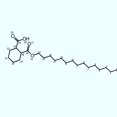 CCCCCCCCCCCCCCCOC(=O)C1CCCCC1C(=O)O